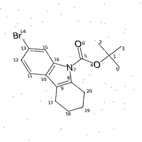 CC(C)(C)OC(=O)n1c2c(c3ccc(Br)cc31)CCCC2